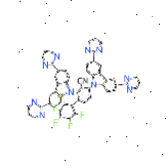 N#Cc1c(-n2c3ccc(-c4ncccn4)cc3c3cc(-c4ncccn4)ccc32)ccc(-c2c(F)c(F)c(F)c(F)c2F)c1-n1c2ccc(-c3ncccn3)cc2c2cc(-c3ncccn3)ccc21